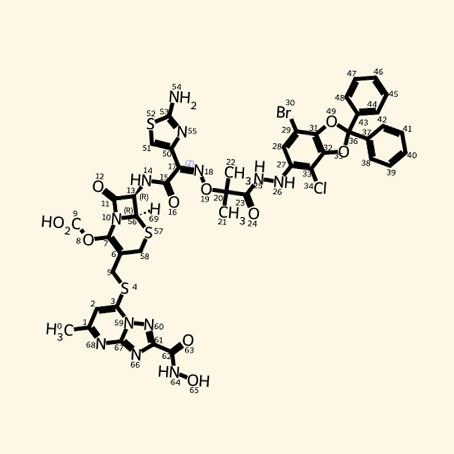 Cc1cc(SCC2=C(OC(=O)O)N3C(=O)[C@@H](NC(=O)/C(=N\OC(C)(C)C(=O)NNc4cc(Br)c5c(c4Cl)OC(c4ccccc4)(c4ccccc4)O5)c4csc(N)n4)[C@H]3SC2)n2nc(C(=O)NO)nc2n1